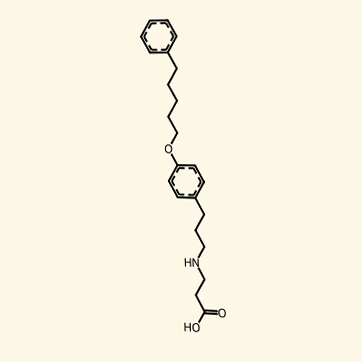 O=C(O)CCNCCCc1ccc(OCCCCCc2ccccc2)cc1